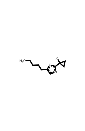 CCCCCc1cnc(C2(Br)CC2)o1